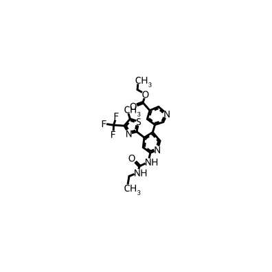 CCNC(=O)Nc1cc(-c2nc(C(F)(F)F)c(C)s2)c(-c2cncc(C(=O)OCC)c2)cn1